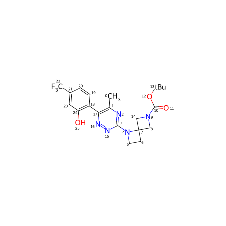 Cc1nc(N2CCC23CN(C(=O)OC(C)(C)C)C3)nnc1-c1ccc(C(F)(F)F)cc1O